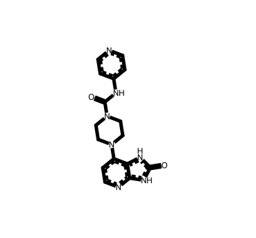 O=C(Nc1ccncc1)N1CCN(c2ccnc3[nH]c(=O)[nH]c23)CC1